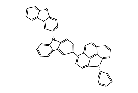 c1ccc(-n2c3cccc4ccc5c(-c6ccc7c(c6)c6ccccc6n7-c6ccc7sc8ccccc8c7c6)ccc2c5c43)cc1